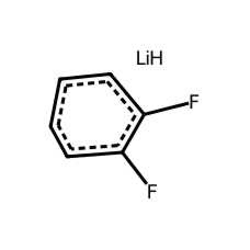 Fc1ccccc1F.[LiH]